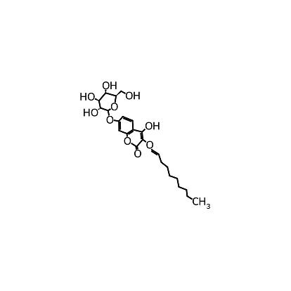 CCCCCCCC/C=C/Oc1c(O)c2ccc(OC3O[C@H](CO)[C@H](O)[C@H](O)[C@H]3O)cc2oc1=O